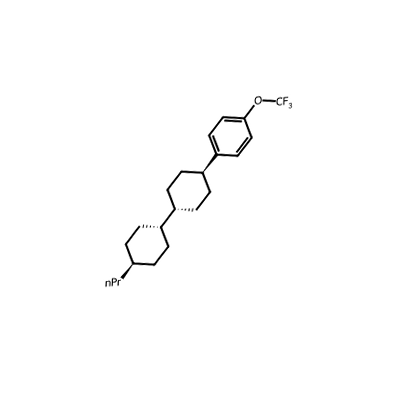 CCC[C@H]1CC[C@H]([C@H]2CC[C@H](c3ccc(OC(F)(F)F)cc3)CC2)CC1